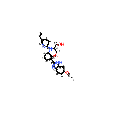 C=Cc1ccc(N2c3cccc(-c4nc5ccc(OC(F)(F)F)cc5[nH]4)c3OCC2CO)nc1